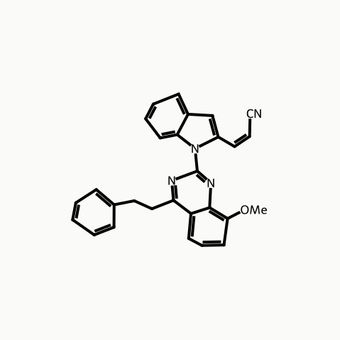 COc1cccc2c(CCc3ccccc3)nc(-n3c(/C=C\C#N)cc4ccccc43)nc12